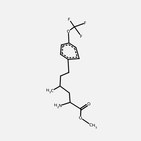 COC(=O)C(N)CC(C)CCc1ccc(OC(F)(F)F)cc1